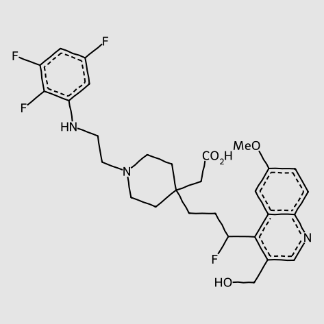 COc1ccc2ncc(CO)c(C(F)CCC3(CC(=O)O)CCN(CCNc4cc(F)cc(F)c4F)CC3)c2c1